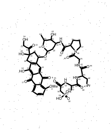 COc1cccc2c1C(=O)c1cc3c(c(O)c1C2=O)CC(O)(C(=O)CO)CC3OC1CC(NC(=O)C2CCCN2C(=O)CNC(=O)C(CC(C)C)NC(=O)C(C)NC(=O)CP(=O)(O)O)C(O)C(C)O1